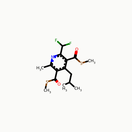 CSC(=O)c1c(C)nc(C(F)F)c(C(=O)SC)c1CC(C)C